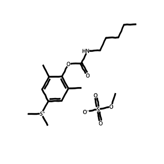 CCCCCNC(=O)Oc1c(C)cc([S+](C)C)cc1C.COS(=O)(=O)[O-]